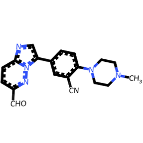 CN1CCN(c2ccc(-c3cnc4ccc(C=O)nn34)cc2C#N)CC1